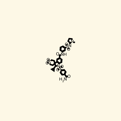 CN1CCCC1=NS(=O)(=O)c1cccc(NC(=O)c2ccc3c(c2)C2(CCS(=O)(=O)CC2)C(C2CC2)N3S(=O)(=O)c2ccc(C(N)=O)cc2)c1